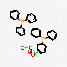 O=O.O=[CH][Ir][Cl].c1ccc(P(c2ccccc2)c2ccccc2)cc1.c1ccc(P(c2ccccc2)c2ccccc2)cc1